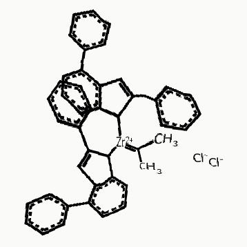 C[C](C)=[Zr+2]([CH]1C(c2ccccc2)=Cc2c(-c3ccccc3)cccc21)[CH]1C(c2ccccc2)=Cc2c(-c3ccccc3)cccc21.[Cl-].[Cl-]